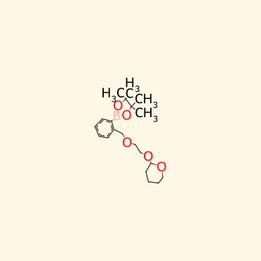 CC1(C)OB(c2ccccc2COCCOC2CCCCO2)OC1(C)C